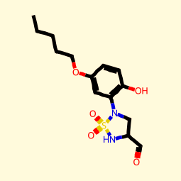 CCCCCOc1ccc(O)c(N2CC(C=O)NS2(=O)=O)c1